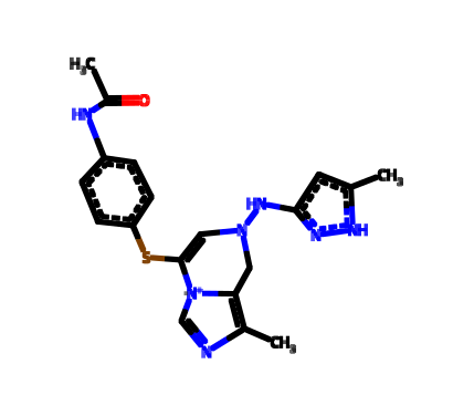 CC(=O)Nc1ccc(SC2=CN(Nc3cc(C)[nH]n3)CC3=C(C)N=C[N+]23)cc1